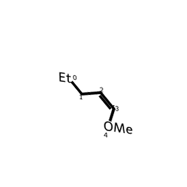 CCC/C=[C]\OC